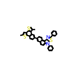 Cc1cc2c(s1)c1ccc(-c3ccc4c5c(ccc4c3)N(c3ccccc3)C3SC(c4ccccc4)=NC53)cc1c1c(C)csc21